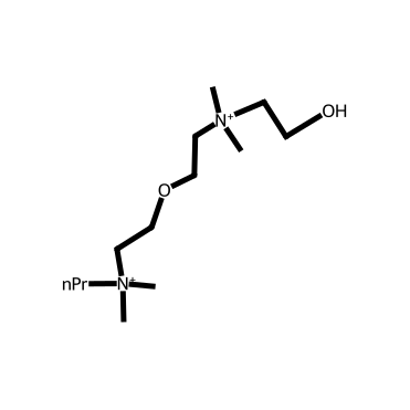 CCC[N+](C)(C)CCOCC[N+](C)(C)CCO